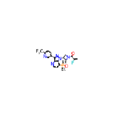 C=C(F)C(=O)N1CC(n2nc(-c3ccc(C(F)(F)F)nc3)c3nccc(P(=O)(CC)CC)c32)C1